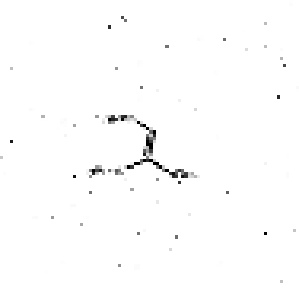 CCCCCCCCC/C=C(\CCCCC)CCCCCCCCCC